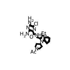 CC[n+]1c(CNC(=O)c2nc(Cl)c(N)nc2N)n(C2CCN(C(C)=O)CC2)c2ccccc21